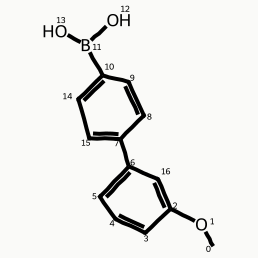 COc1cccc(-c2ccc(B(O)O)cc2)c1